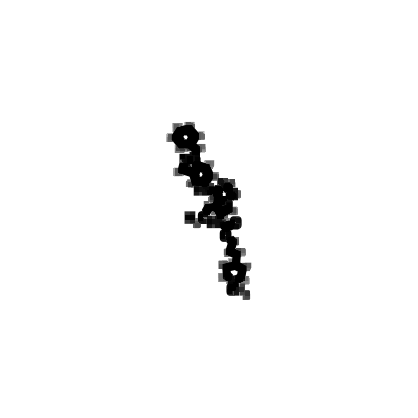 CCc1c(NC(=O)OCCCC2CCN(C)CC2)cn2ncnc(Nc3ccc4c(cnn4Cc4ccccc4)c3)c12